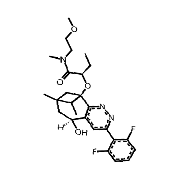 CC[C@@H](O[C@@]12CC(C)(C[C@H](O)c3cc(-c4c(F)cccc4F)nnc31)C2C)C(=O)N(C)CCOC